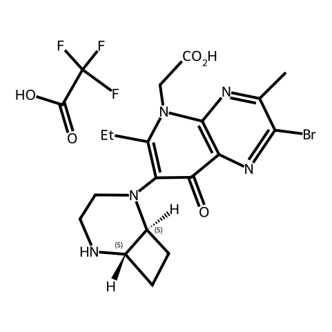 CCc1c(N2CCN[C@H]3CC[C@@H]32)c(=O)c2nc(Br)c(C)nc2n1CC(=O)O.O=C(O)C(F)(F)F